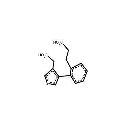 O=C(O)CCc1ccccc1-c1cscc1CC(=O)O